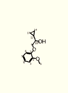 COc1c[c]ccc1OCC(O)C1CC1